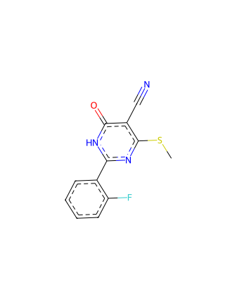 CSc1nc(-c2ccccc2F)[nH]c(=O)c1C#N